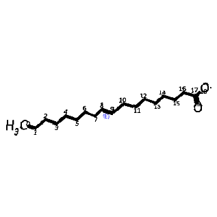 CCCCCCCC/C=C/CCCCCCCC([O])=O